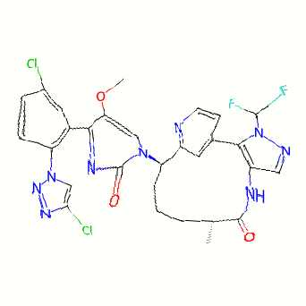 COc1cn([C@@H]2CCC[C@@H](C)C(=O)Nc3cnn(C(F)F)c3-c3ccnc2c3)c(=O)nc1-c1cc(Cl)ccc1-n1cc(Cl)nn1